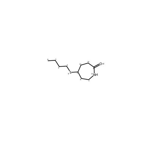 CCCCSC1CCNC(=O)CC1